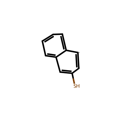 Sc1c[c]c2ccccc2c1